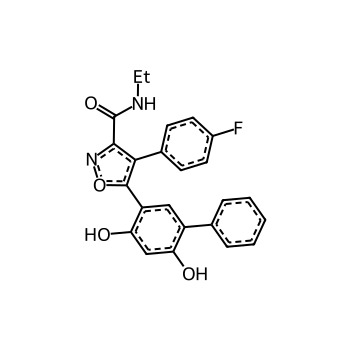 CCNC(=O)c1noc(-c2cc(-c3ccccc3)c(O)cc2O)c1-c1ccc(F)cc1